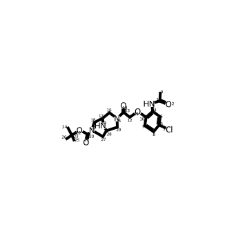 CC(=O)Nc1cc(Cl)ccc1OCC(=O)N1CC2CN(C(=O)OC(C)(C)C)CC(C1)N2